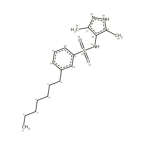 CCCCCCCc1cccc(S(=O)(=O)Nc2c(C)n[nH]c2C)c1